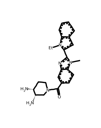 CCn1c(-c2nc3cc(C(=O)N4CC[C@@H](N)[C@@H](N)C4)ccc3n2C)cc2ccccc21